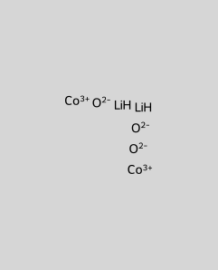 [Co+3].[Co+3].[LiH].[LiH].[O-2].[O-2].[O-2]